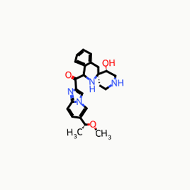 CO[C@H](C)c1ccc2nc(C(=O)C3N[C@@]4(CCNC[C@H]4O)Cc4ccccc43)cn2c1